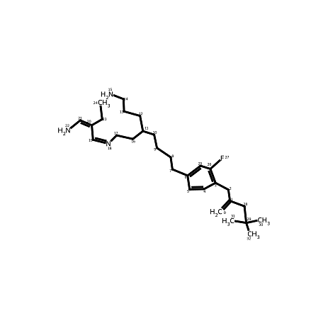 C=C(Cc1ccc(CCCCC(CCCN)CC/N=C\C(=C/N)CC)cc1F)CC(C)(C)C